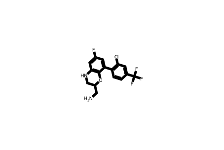 NCC1CNc2cc(F)cc(-c3ccc(C(F)(F)F)cc3Cl)c2O1